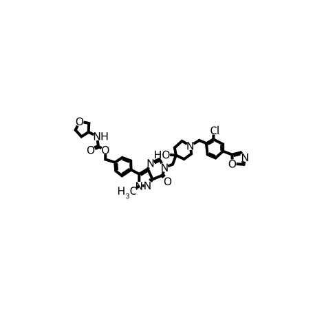 Cn1nc2c(=O)n(CC3(O)CCN(Cc4ccc(-c5cnco5)cc4Cl)CC3)cnc2c1-c1ccc(COC(=O)NC2CCOC2)cc1